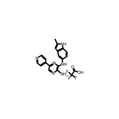 Cc1cc2cc(Nc3nc(-c4ccncc4)cnc3N)ccc2[nH]1.O=C(O)C(F)(F)F